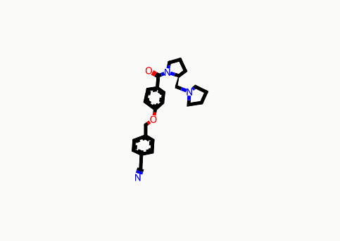 N#Cc1ccc(COc2ccc(C(=O)N3CCC[C@H]3CN3CCCC3)cc2)cc1